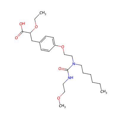 CCCCCCN(CCOc1ccc(CC(OCC)C(=O)O)cc1)C(=O)NCCOC